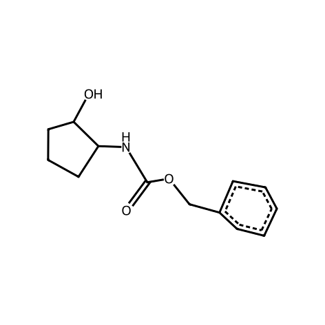 O=C(NC1CCCC1O)OCc1ccccc1